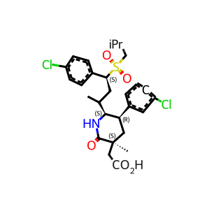 CC(C)CS(=O)(=O)[C@@H](CC(C)[C@@H]1NC(=O)[C@](C)(CC(=O)O)C[C@@H]1c1cccc(Cl)c1)c1ccc(Cl)cc1